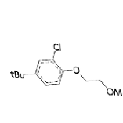 COCCOc1ccc(C(C)(C)C)cc1Cl